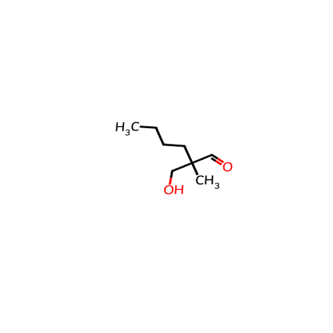 CCCCC(C)(C=O)CO